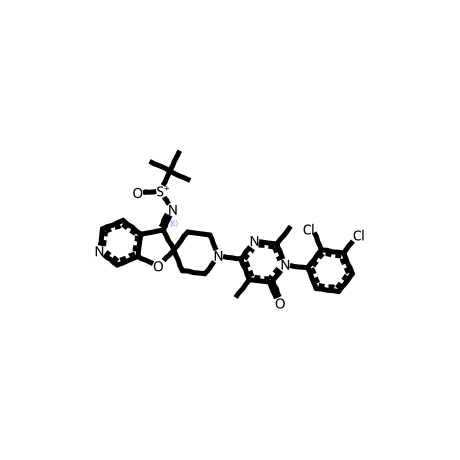 Cc1c(N2CCC3(CC2)Oc2cnccc2/C3=N\[S+]([O-])C(C)(C)C)nc(C)n(-c2cccc(Cl)c2Cl)c1=O